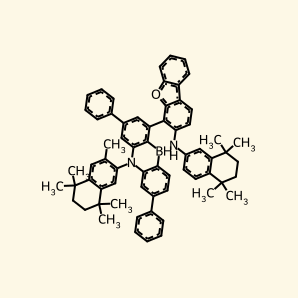 Cc1cc2c(cc1N1c3cc(-c4ccccc4)ccc3Bc3c(-c4c(Nc5ccc6c(c5)C(C)(C)CCC6(C)C)ccc5c4oc4ccccc45)cc(-c4ccccc4)cc31)C(C)(C)CCC2(C)C